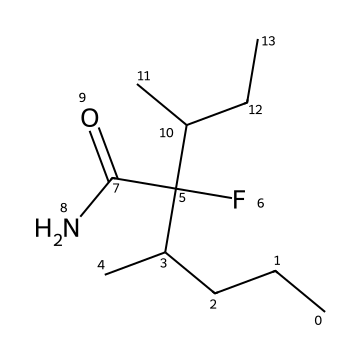 CCCC(C)C(F)(C(N)=O)C(C)CC